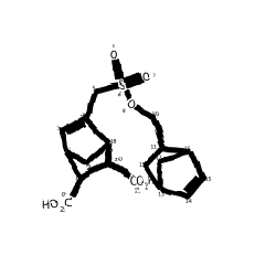 O=C(O)C1C2C=C(CS(=O)(=O)OCC3CC4C=CC3C4)C(C2)C1C(=O)O